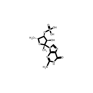 C[C@H]1O[C@@](C)(n2cnc3c(=O)[nH]c(N)nc32)[C@H](O)[C@@H]1OP(=O)(O)O